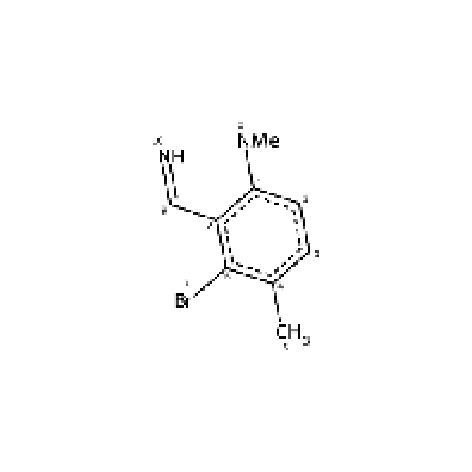 CNc1ccc(C)c(Br)c1C=N